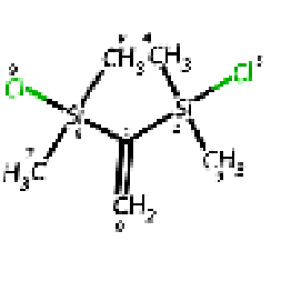 C=C([Si](C)(C)Cl)[Si](C)(C)Cl